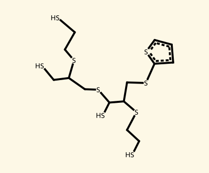 SCCSC(CS)CSC(S)C(CSc1cccs1)SCCS